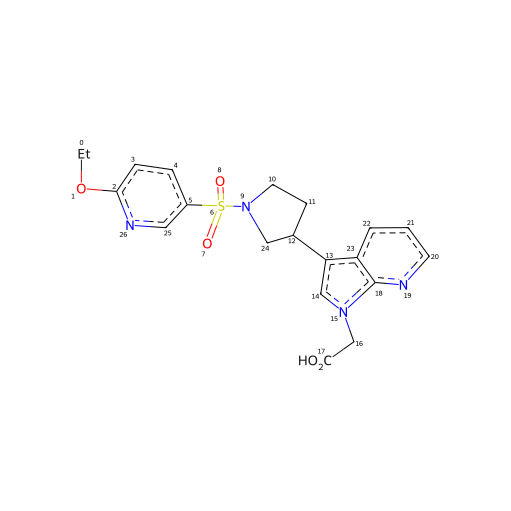 CCOc1ccc(S(=O)(=O)N2CCC(c3cn(CC(=O)O)c4ncccc34)C2)cn1